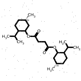 CC(C)C1CC[C@H](C)CC1OC(=O)CCC(=O)OC1C[C@@H](C)CCC1C(C)C